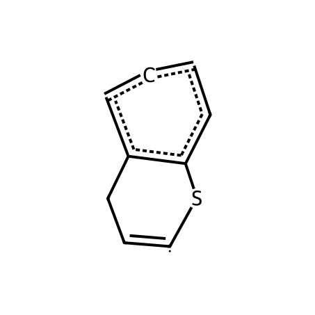 [C]1=CCc2ccccc2S1